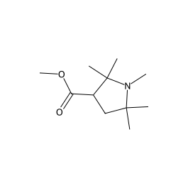 COC(=O)C1CC(C)(C)N(C)C1(C)C